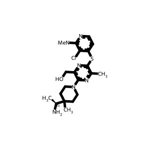 CNc1nccc(Sc2nc(CO)c(N3CCC(C)([C@H](C)N)CC3)nc2C)c1Cl